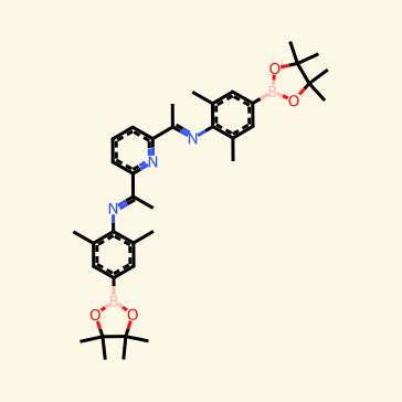 C/C(=N\c1c(C)cc(B2OC(C)(C)C(C)(C)O2)cc1C)c1cccc(/C(C)=N/c2c(C)cc(B3OC(C)(C)C(C)(C)O3)cc2C)n1